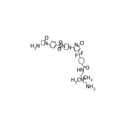 C[N+](C)(CCN)CCNC(=O)C1CCC(C(F)(F)c2cc(Cl)nc(N3CCN(S(=O)(=O)c4ccc(N5C[C@H](N)CC5=O)cc4)CC3)c2)CC1